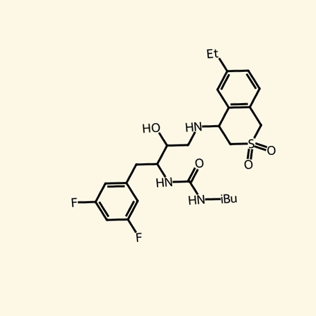 CCc1ccc2c(c1)C(NCC(O)C(Cc1cc(F)cc(F)c1)NC(=O)NC(C)CC)CS(=O)(=O)C2